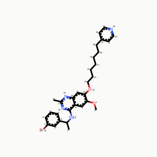 COc1cc2c(NC(C)c3cccc(Br)c3)nc(C)nc2cc1OCCCCCCCc1ccncc1